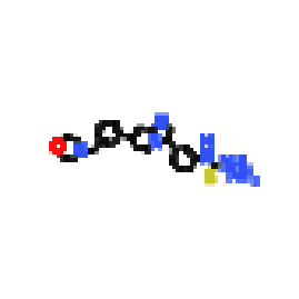 NNC(=S)Nc1cccc(-c2cnc3cc(-c4cccc(CN5CCOCC5)c4)ccn23)c1